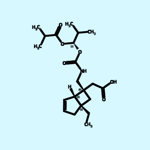 CC[C@@]12CC=C[C@@H]1[C@](CNC(=O)O[C@H](OC(=O)C(C)C)C(C)C)(CC(=O)O)C2